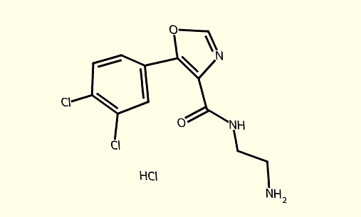 Cl.NCCNC(=O)c1ncoc1-c1ccc(Cl)c(Cl)c1